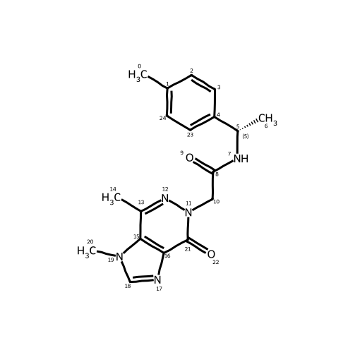 Cc1ccc([C@H](C)NC(=O)Cn2nc(C)c3c(ncn3C)c2=O)cc1